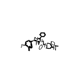 Cc1nc2c(o1)CN(C(=O)Cn1nc(-c3ccc(F)c(C)c3)nc1-c1ccccc1)CC2